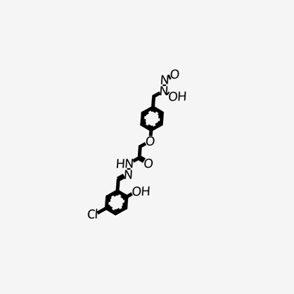 O=NN(O)Cc1ccc(OCC(=O)N/N=C/c2cc(Cl)ccc2O)cc1